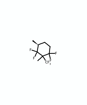 C[C@H]1CCC(F)(F)C(C)(C(F)(F)F)C1(F)F